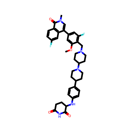 COc1cc(-c2cn(C)c(=O)c3ccc(F)cc23)cc(F)c1CN1CCC(N2CCC(c3ccc(NC4CCC(=O)NC4=O)cc3)CC2)CC1